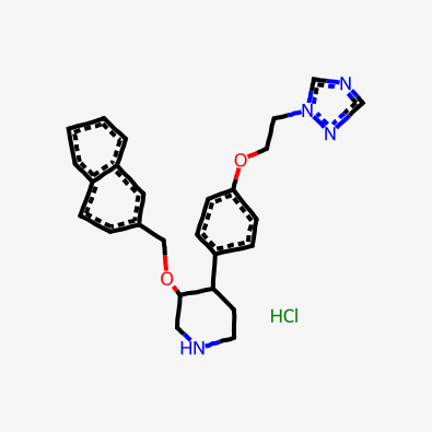 Cl.c1ccc2cc(COC3CNCCC3c3ccc(OCCn4cncn4)cc3)ccc2c1